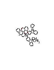 CC1(C)c2ccccc2-c2ccc(N(c3ccc4c(c3)C3(c5ccccc5S4)c4ccccc4-c4cccc5cccc3c45)c3ccc4c(c3)c3ccccc3n4-c3ccccc3)cc21